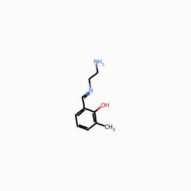 Cc1cccc(C=NCCN)c1O